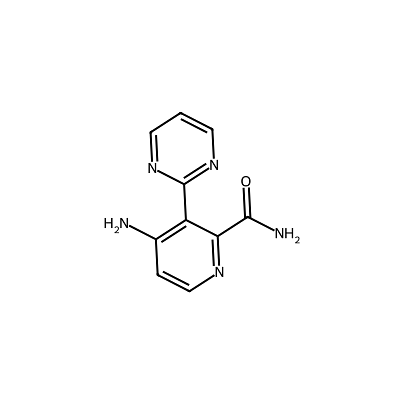 NC(=O)c1nccc(N)c1-c1ncccn1